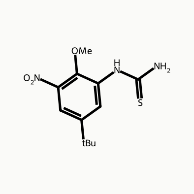 COc1c(NC(N)=S)cc(C(C)(C)C)cc1[N+](=O)[O-]